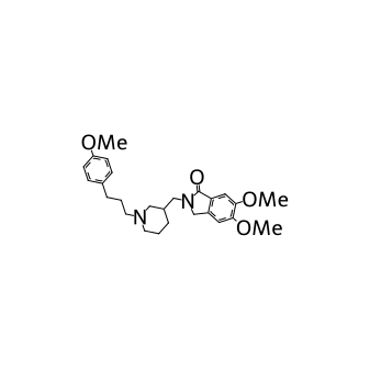 COc1ccc(CCCN2CCCC(CN3Cc4cc(OC)c(OC)cc4C3=O)C2)cc1